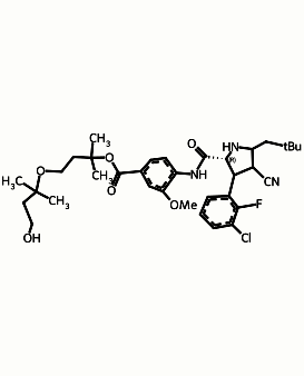 COc1cc(C(=O)OC(C)(C)CCOC(C)(C)CCO)ccc1NC(=O)[C@@H]1NC(CC(C)(C)C)C(C#N)C1c1cccc(Cl)c1F